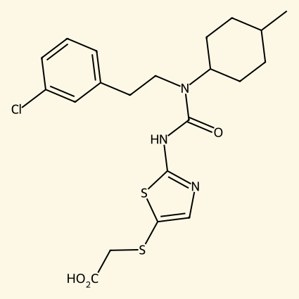 CC1CCC(N(CCc2cccc(Cl)c2)C(=O)Nc2ncc(SCC(=O)O)s2)CC1